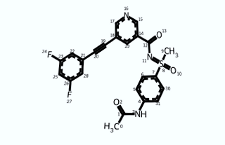 CC(=O)Nc1ccc(S(C)(=O)=NC(=O)c2cncc(C#Cc3cc(F)cc(F)c3)c2)cc1